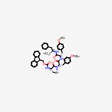 CC(C)C[C@H](NC(=O)OCC1c2ccccc2-c2ccccc21)C(=O)N[C@@H](Cc1ccc(OC(C)(C)C)cc1)C(=O)N[C@@H](Cc1ccc(OC(C)(C)C)cc1)C(=O)N[C@H](Cc1ccccc1)C(=O)O